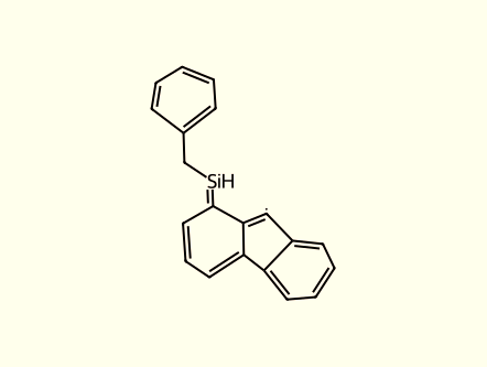 [C]1=c2c(cccc2=[SiH]Cc2ccccc2)-c2ccccc21